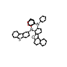 c1ccc(N(c2ccccc2)c2ccc3c(oc4ccc5ccccc5c43)c2N(c2ccccc2)c2ccc3sc4ccccc4c3c2)cc1